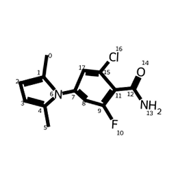 Cc1ccc(C)n1-c1cc(F)c(C(N)=O)c(Cl)c1